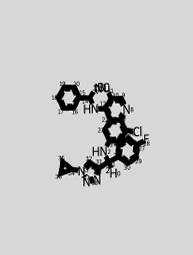 [2H]C(Nc1cc(Cl)c2ncc(C#N)c(NC(c3ccccc3)C(C)(C)C)c2c1)(c1ccc(F)cc1)c1cn(C2CC2)nn1